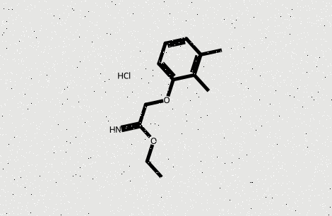 CCOC(=N)COc1cccc(C)c1C.Cl